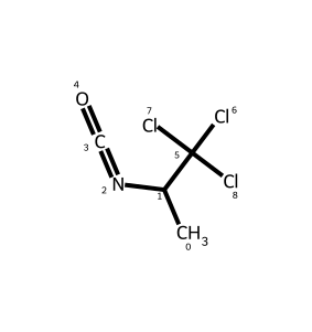 CC(N=C=O)C(Cl)(Cl)Cl